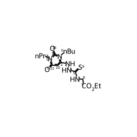 CCCCn1c(NNC(=S)NCC(=O)OCC)cc(=O)n(CCC)c1=O